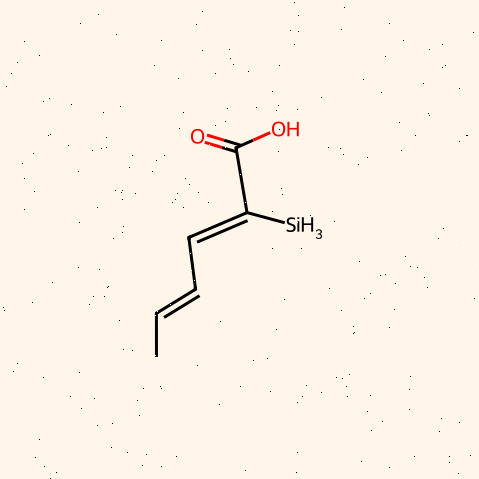 CC=CC=C([SiH3])C(=O)O